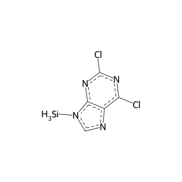 [SiH3]n1cnc2c(Cl)nc(Cl)nc21